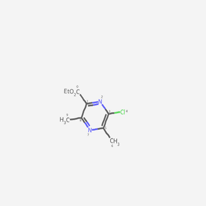 CCOC(=O)c1nc(Cl)c(C)nc1C